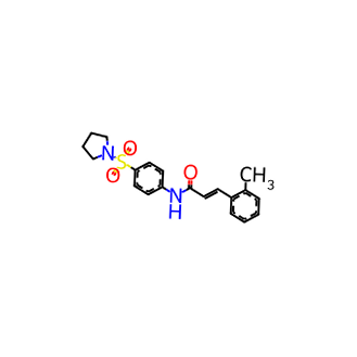 Cc1ccccc1/C=C/C(=O)Nc1ccc(S(=O)(=O)N2CCCC2)cc1